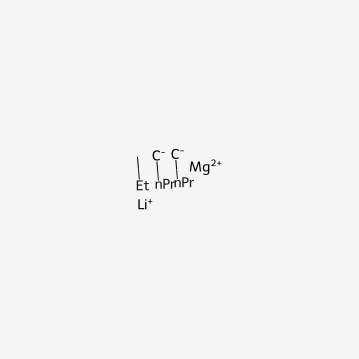 C[CH-]C.[CH2-]CCC.[CH2-]CCC.[Li+].[Mg+2]